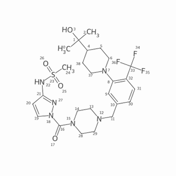 CC(C)(O)C1CCN(c2cc(CN3CCN(C(=O)n4ccc(NS(C)(=O)=O)n4)CC3)ccc2C(F)(F)F)CC1